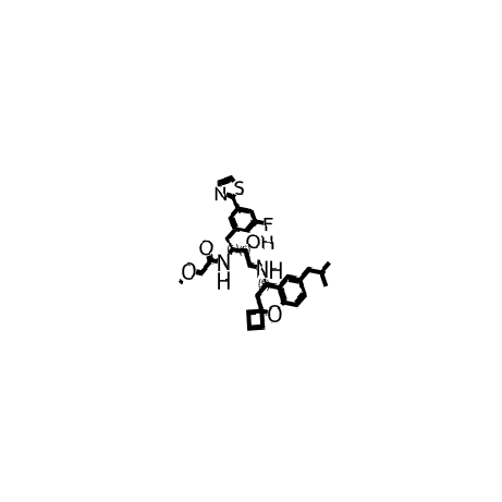 COCC(=O)N[C@@H](Cc1cc(F)cc(-c2nccs2)c1)[C@@H](O)CN[C@H]1CC2(CCC2)Oc2ccc(CC(C)C)cc21